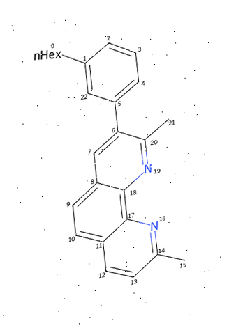 CCCCCCc1cccc(-c2cc3ccc4ccc(C)nc4c3nc2C)c1